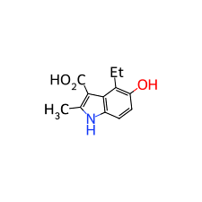 CCc1c(O)ccc2[nH]c(C)c(C(=O)O)c12